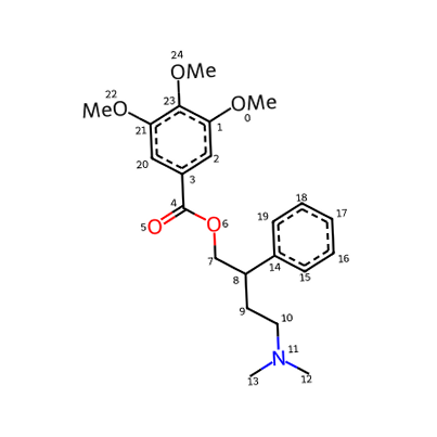 COc1cc(C(=O)OCC(CCN(C)C)c2ccccc2)cc(OC)c1OC